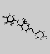 Cc1ccc(CCC2CCC(CCC3CCC(C)CC3)OC2=O)c(F)c1F